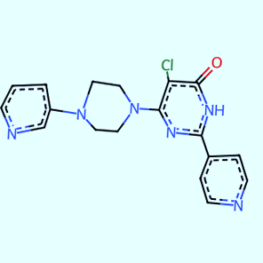 O=c1[nH]c(-c2ccncc2)nc(N2CCN(c3cccnc3)CC2)c1Cl